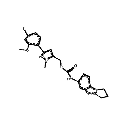 COc1cc(F)ccc1-c1cc(COC(=O)Nc2ccc3c(c2)nc2n3CCC2)n(C)n1